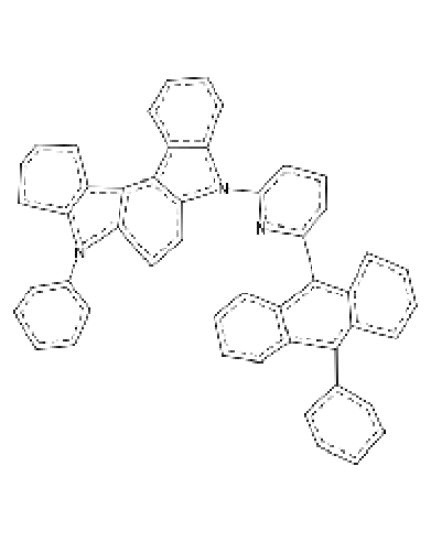 c1ccc(-c2c3ccccc3c(-c3cccc(-n4c5ccccc5c5c6c7ccccc7n(-c7ccccc7)c6ccc54)n3)c3ccccc23)cc1